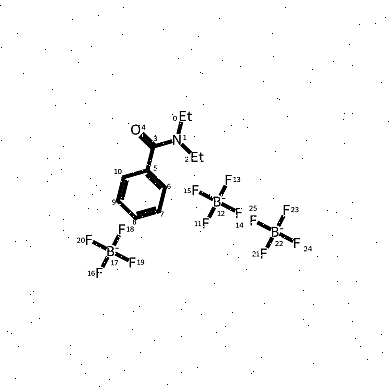 CCN(CC)C(=O)c1ccccc1.F[B-](F)(F)F.F[B-](F)(F)F.F[B-](F)(F)F